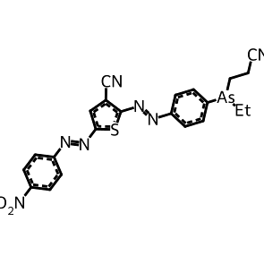 CC[As](CCC#N)c1ccc(N=Nc2sc(N=Nc3ccc([N+](=O)[O-])cc3)cc2C#N)cc1